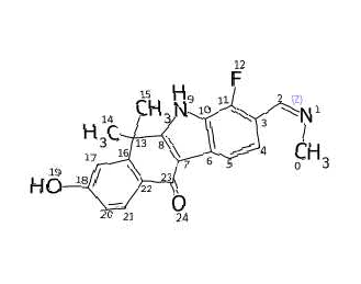 C/N=C\c1ccc2c3c([nH]c2c1F)C(C)(C)c1cc(O)ccc1C3=O